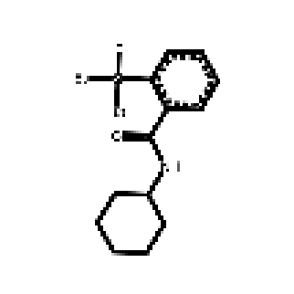 CC[Si](CC)(CC)c1ccccc1C(=O)NC1CCCCC1